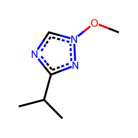 COn1cnc(C(C)C)n1